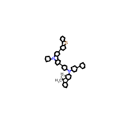 CC1(C)c2ccccc2-c2ccc(N(c3ccc(-c4ccccc4)cc3)c3ccc(-c4ccc5c(c4)c4cc(-c6ccc7sc8ccccc8c7c6)ccc4n5-c4ccccc4)cc3)cc21